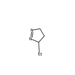 CCC1CCN=N1